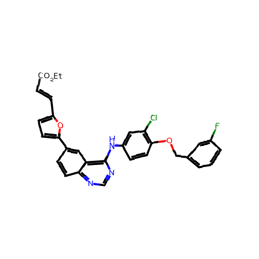 CCOC(=O)/C=C/c1ccc(-c2ccc3ncnc(Nc4ccc(OCc5cccc(F)c5)c(Cl)c4)c3c2)o1